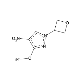 CC(C)Oc1nn(C2COC2)cc1[N+](=O)[O-]